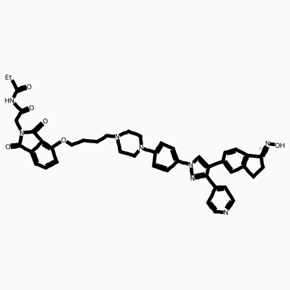 CCC(=O)NC(=O)CN1C(=O)c2cccc(OCCCCN3CCN(c4ccc(-n5cc(-c6ccc7c(c6)CC/C7=N\O)c(-c6ccncc6)n5)cc4)CC3)c2C1=O